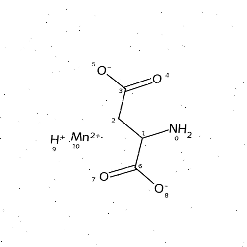 NC(CC(=O)[O-])C(=O)[O-].[H+].[Mn+2]